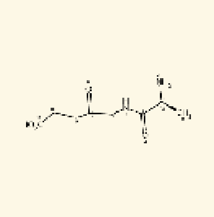 C[C@H](N)C(=O)NCC(=O)CCC(=O)O